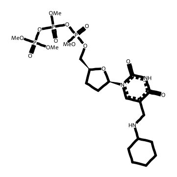 COP(=O)(OC)OP(=O)(OC)OP(=O)(OC)OC[C@@H]1CC[C@H](n2cc(CNC3CCCCC3)c(=O)[nH]c2=O)O1